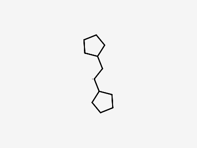 [CH](CC1CCCC1)C1CCCC1